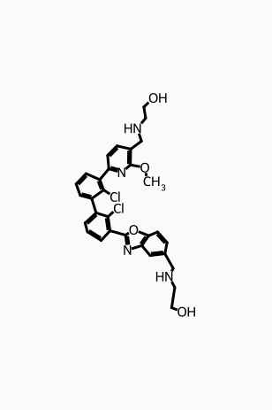 COc1nc(-c2cccc(-c3cccc(-c4nc5cc(CNCCO)ccc5o4)c3Cl)c2Cl)ccc1CNCCO